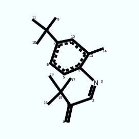 C=C(/C=N\c1ccc(C(C)(C)C)cc1C)C(C)(C)C